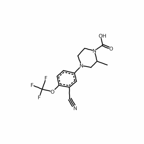 CC1CN(c2ccc(OC(F)(F)F)c(C#N)c2)CCN1C(=O)O